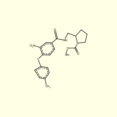 Cc1ccc(Sc2ccc(C(=O)NCC3CCCN3C(=O)OC(C)(C)C)cc2[N+](=O)[O-])cc1